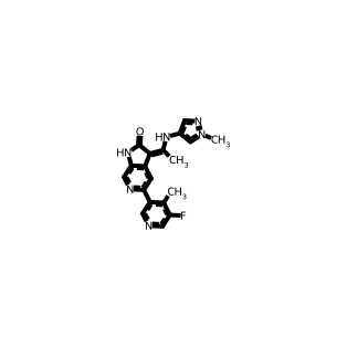 C/C(Nc1cnn(C)c1)=C1/C(=O)Nc2cnc(-c3cncc(F)c3C)cc21